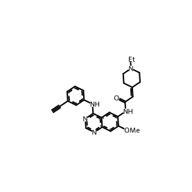 C#Cc1cccc(Nc2ncnc3cc(OC)c(NC(=O)C=C4CCN(CC)CC4)cc23)c1